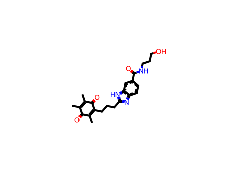 CC1=C(C)C(=O)C(CCCc2nc3ccc(C(=O)NCCCO)cc3[nH]2)=C(C)C1=O